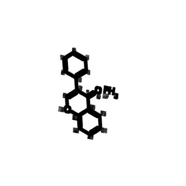 O=c1c(-c2ccccc2)coc2ccccc12.P